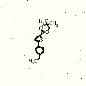 CCc1ccc(-c2ccc(B3OCC(C)(C)CO3)s2)cc1